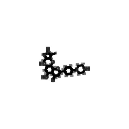 Cc1n[nH]c(C)c1Oc1c(O)cc(O)c2c(=O)cc(-c3ccc(N4CCNCC4)cc3)oc12